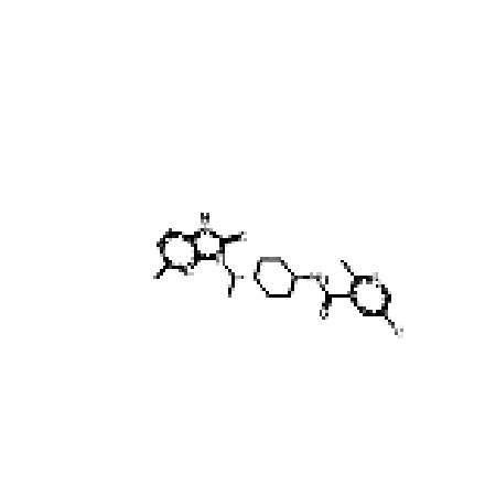 Cc1ccc2[nH]c(=O)n(C(C)[C@H]3CC[C@H](NC(=O)c4cc(Cl)cnc4C)CC3)c2n1